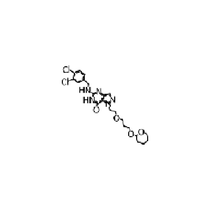 O=c1[nH]c(NCc2ccc(Cl)c(Cl)c2)nc2cnn(CCOCCCOC3CCCCO3)c12